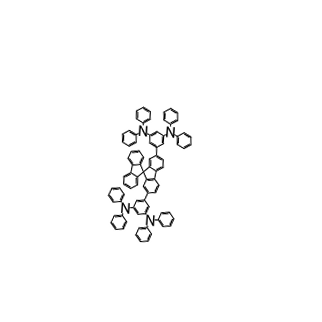 c1ccc(N(c2ccccc2)c2cc(-c3ccc4c(c3)C3(c5ccccc5-c5ccccc53)c3cc(-c5cc(N(c6ccccc6)c6ccccc6)cc(N(c6ccccc6)c6ccccc6)c5)ccc3-4)cc(N(c3ccccc3)c3ccccc3)c2)cc1